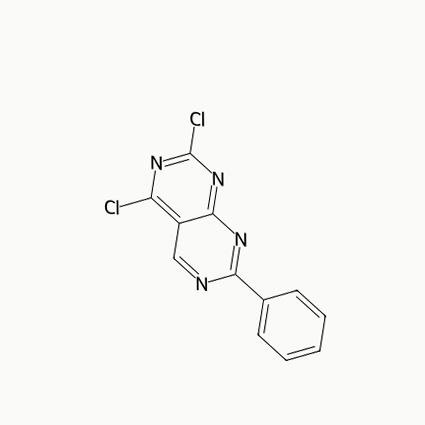 Clc1nc(Cl)c2cnc(-c3ccccc3)nc2n1